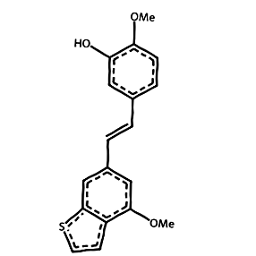 COc1ccc(/C=C/c2cc(OC)c3ccsc3c2)cc1O